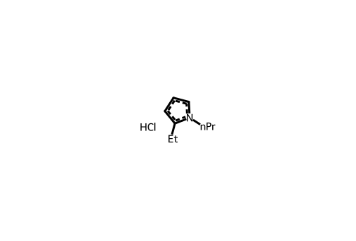 CCCn1cccc1CC.Cl